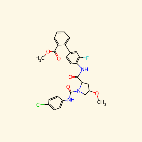 COC(=O)c1ccccc1-c1ccc(NC(=O)C2CC(OC)CN2C(=O)Nc2ccc(Cl)cc2)c(F)c1